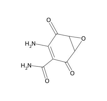 NC(=O)C1=C(N)C(=O)C2OC2C1=O